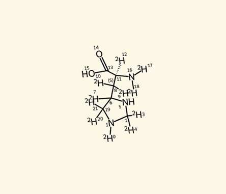 [2H]N1C([2H])([2H])NC([2H])(C([2H])([2H])[C@@]([2H])(C(=O)O)N([2H])[2H])C1([2H])[2H]